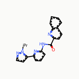 CC(C)n1nccc1-c1cccc(NC(=O)c2ccc3ccccc3n2)n1